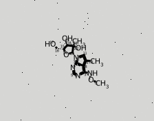 CONc1ncnc2c1c(C)cn2[C@@H]1O[C@H](CO)[C@@H](O)[C@@]1(C)O